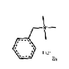 C[N+](C)(C)Cc1ccccc1.[OH-].[Zn]